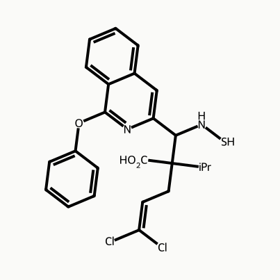 CC(C)C(CC=C(Cl)Cl)(C(=O)O)C(NS)c1cc2ccccc2c(Oc2ccccc2)n1